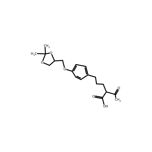 CC(=O)C(CCCc1ccc(OCC2COC(C)(C)O2)cc1)C(=O)O